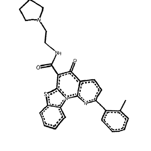 Cc1ccccc1-c1ccc2c(=O)c(C(=O)NCCN3CCCC3)c3sc4ccccc4n3c2n1